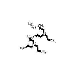 CCCP(CCC)CCC.CCCP(CCC)CCC.[Cl-].[Cl-].[Ni+2]